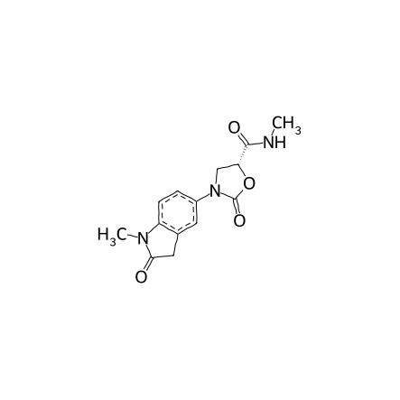 CNC(=O)[C@H]1CN(c2ccc3c(c2)CC(=O)N3C)C(=O)O1